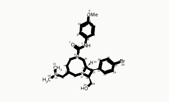 COc1ccc(NC(=O)N2CCC(CN(C)C)CN3[C@H](CO)[C@H](c4ccc(Br)cc4)[C@@H]3C2)cc1